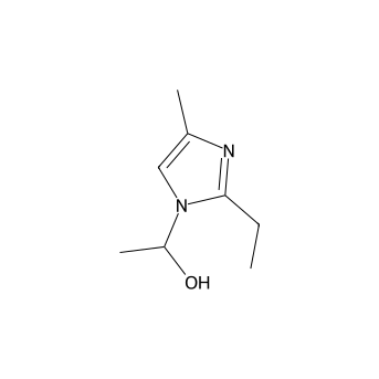 CCc1nc(C)cn1C(C)O